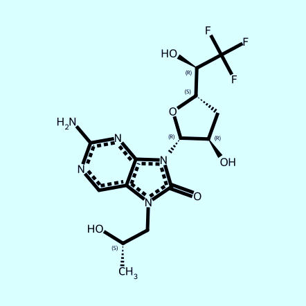 C[C@H](O)Cn1c(=O)n([C@@H]2O[C@H]([C@@H](O)C(F)(F)F)C[C@H]2O)c2nc(N)ncc21